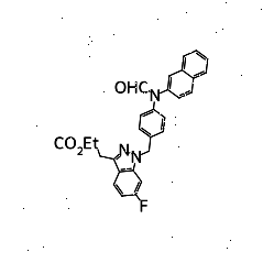 CCOC(=O)Cc1nn(Cc2ccc(N(C=O)c3ccc4ccccc4c3)cc2)c2cc(F)ccc12